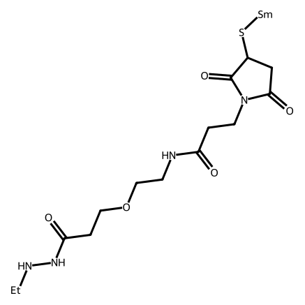 CCNNC(=O)CCOCCNC(=O)CCN1C(=O)CC([S][Sm])C1=O